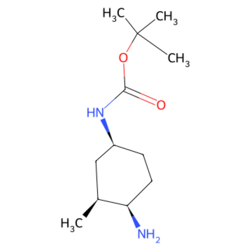 C[C@H]1C[C@@H](NC(=O)OC(C)(C)C)CC[C@H]1N